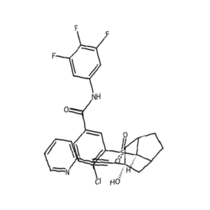 O=C(Nc1cc(F)c(F)c(F)c1)c1ccc(Cl)c(S(=O)(=O)[C@H]2C3CCC2C[C@@](O)(C#Cc2ccccn2)C3)c1